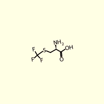 N[C@H](CSC(F)(F)F)C(=O)O